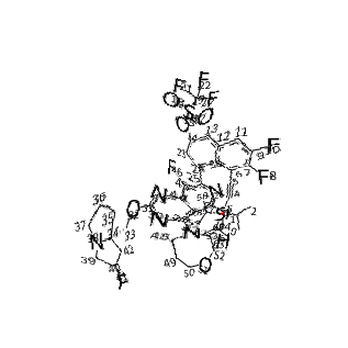 CC(C)[Si](C#Cc1c(F)c(F)cc2cc(OS(=O)(=O)C(F)(F)F)cc(-c3nc4c5c(nc(OC[C@@]67CCCN6C[C@H](F)C7)nc5c3F)N3CCCOC[C@@H]3CC4)c12)(C(C)C)C(C)C